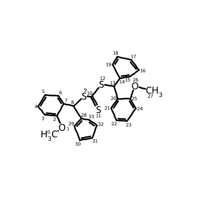 COc1ccccc1C(SC(=S)SC(c1ccccc1)c1ccccc1OC)c1ccccc1